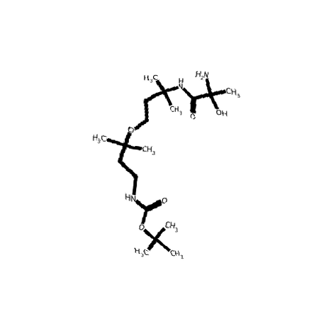 CC(C)(CCOC(C)(C)CCNC(=O)OC(C)(C)C)NC(=O)C(C)(N)O